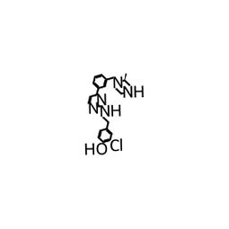 C[C@H]1CNCCN1Cc1cccc(-c2ccnc(NCCc3ccc(O)c(Cl)c3)n2)c1